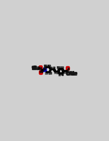 COC(=O)c1ccc(/C=C/C2CCN(C(=O)OC(C)(C)C)CC2)cc1